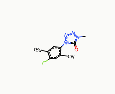 Cn1nnn(-c2cc(C(C)(C)C)c(F)cc2C#N)c1=O